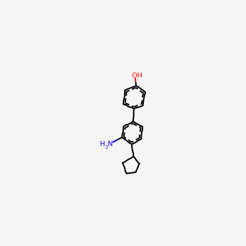 Nc1cc(-c2ccc(O)cc2)ccc1C1CCCC1